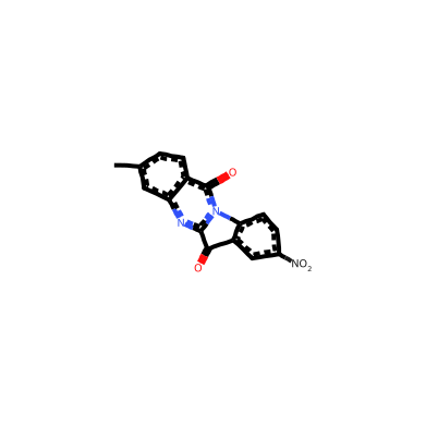 Cc1ccc2c(=O)n3c(nc2c1)C(=O)c1cc([N+](=O)[O-])ccc1-3